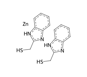 SCc1nc2ccccc2[nH]1.SCc1nc2ccccc2[nH]1.[Zn]